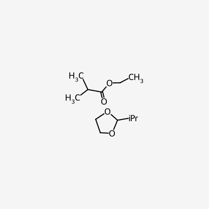 CC(C)C1OCCO1.CCOC(=O)C(C)C